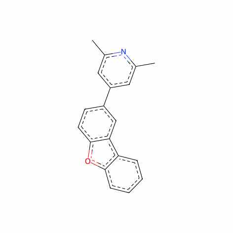 Cc1cc(-c2ccc3oc4ccccc4c3c2)cc(C)n1